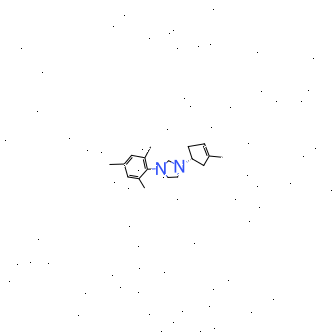 CC1=CC[C@@H](N2CCN(c3c(C)cc(C)cc3C)C2)C1